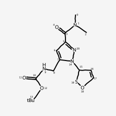 CN(C)C(=O)c1cc(CNC(=O)OC(C)(C)C)n(C2C=COS2)n1